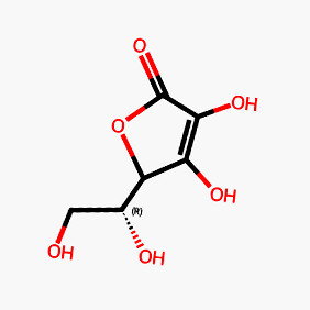 O=C1OC([C@H](O)CO)C(O)=C1O